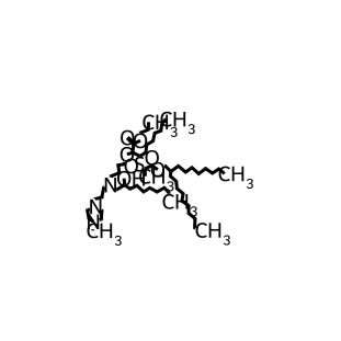 CCCCCCCCCCC(CCCCCCCC)COC(=O)C(C)SC(CCCCCCC)C(OC(=O)CCCN(CCCN1CCN(C)CC1)CC(O)CCCCCCCC)C(=O)OCCC